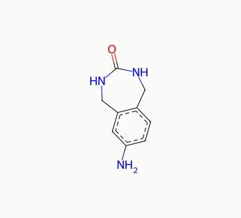 Nc1ccc2c(c1)CNC(=O)NC2